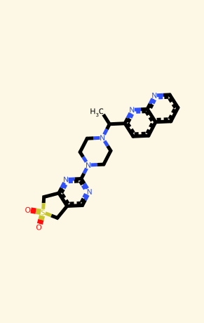 CC(c1ccc2cccnc2n1)N1CCN(c2ncc3c(n2)CS(=O)(=O)C3)CC1